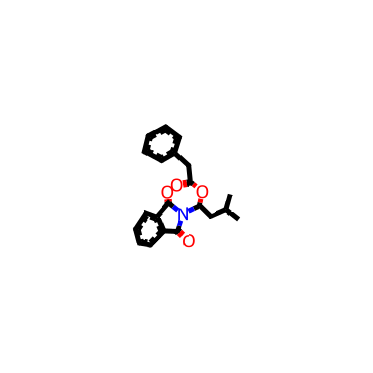 CC(C)CC(OC(=O)Cc1ccccc1)N1C(=O)c2ccccc2C1=O